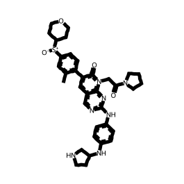 Cc1cc([S+]([O-])C2CCOCC2)ccc1-c1cc2cnc(Nc3ccc(NC4CCNC4)cc3)nc2n(CC(=O)N2CCCC2)c1=O